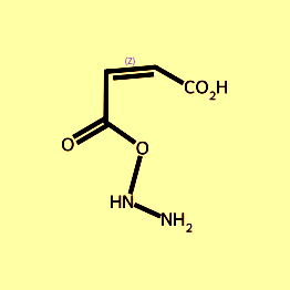 NNOC(=O)/C=C\C(=O)O